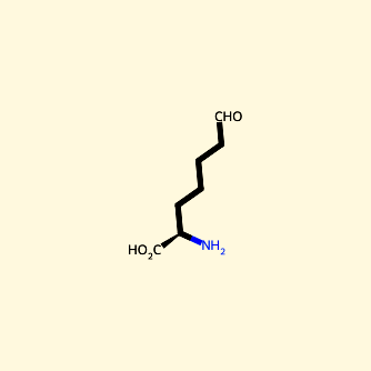 N[C@H](CCCCC=O)C(=O)O